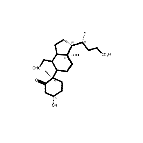 C[C@H](CCC(=O)O)[C@H]1CCC2C(CC=O)C([C@@]3(C)CC[C@H](O)CC3=O)CC[C@@]21C